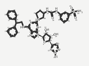 CCn1nnc([C@H]2O[C@@H](n3cnc4c(NCC(c5ccccc5)c5ccccc5)nc(N5CCC(NC(=O)Nc6cccc(S(N)(=O)=O)c6)C5)nc43)[C@H](O)[C@@H]2O)n1